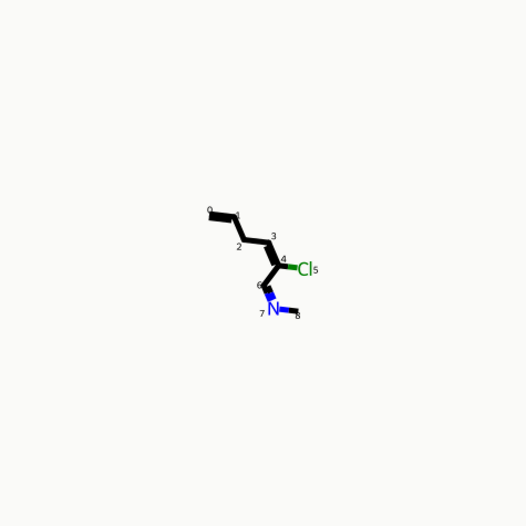 C=CC/C=C(Cl)\C=N/C